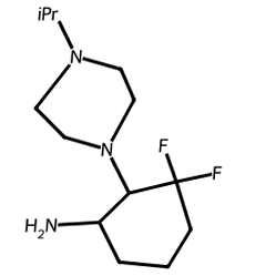 CC(C)N1CCN(C2C(N)CCCC2(F)F)CC1